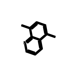 Cc1ccc(C)c2ncccc12